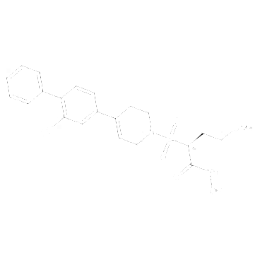 COCC[C@@H](C(=O)NO)S(=O)(=O)N1CC=C(c2ccc(-c3ccccc3)c(C)c2)CC1